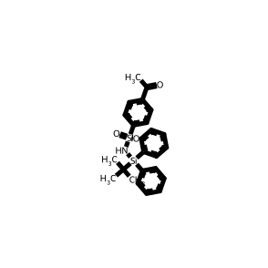 CC(=O)c1ccc(S(=O)(=O)N[Si](c2ccccc2)(c2ccccc2)C(C)(C)C)cc1